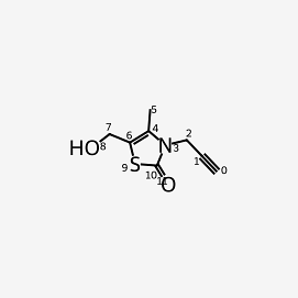 C#CCn1c(C)c(CO)sc1=O